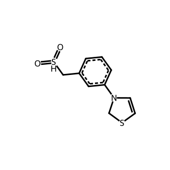 O=[SH](=O)Cc1cccc(N2C=CSC2)c1